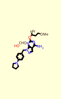 CCCC(CCOC)Oc1nc(N)c2cnn(Cc3ccc(N4CCCC4)cc3)c2n1.O=CO